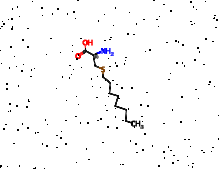 CCCCCCCCSC[C@H](N)C(=O)O